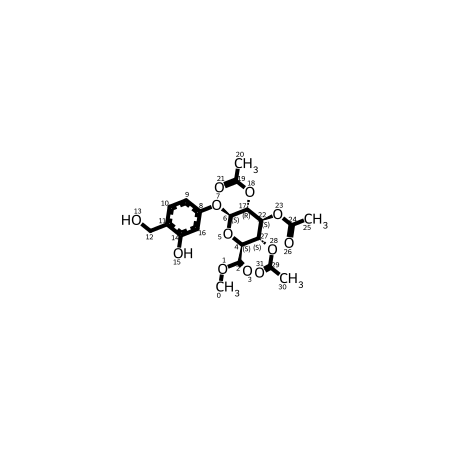 COC(=O)[C@H]1O[C@@H](Oc2ccc(CO)c(O)c2)[C@H](OC(C)=O)[C@@H](OC(C)=O)[C@@H]1OC(C)=O